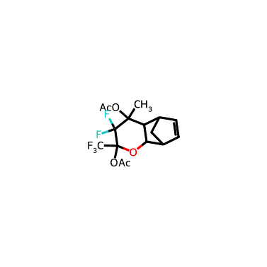 CC(=O)OC1(C)C2C3C=CC(C3)C2OC(OC(C)=O)(C(F)(F)F)C1(F)F